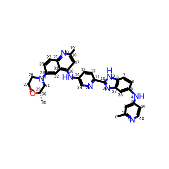 Cc1cc(Nc2ccc3[nH]c(-c4ccc(Nc5cc(C)nc6ccc(N7CCO[C@@H](C)C7)cc56)cn4)nc3c2)ccn1